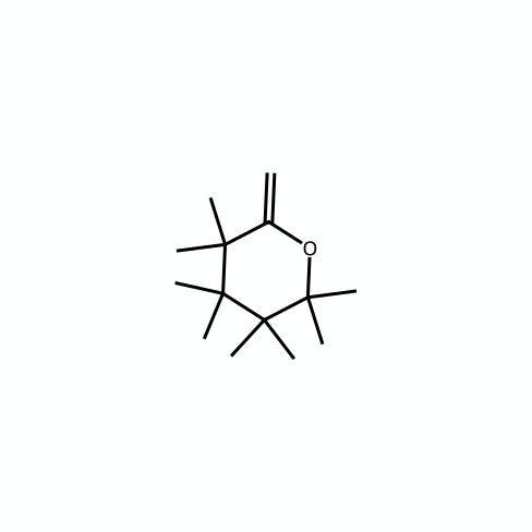 C=C1OC(C)(C)C(C)(C)C(C)(C)C1(C)C